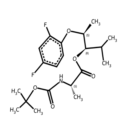 CC(C)[C@@H](OC(=O)[C@H](C)NC(=O)OC(C)(C)C)[C@H](C)Oc1ccc(F)cc1F